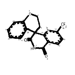 O=C1NC(=O)C2(CCOc3ccccc32)c2nc(C(F)(F)F)ccc21